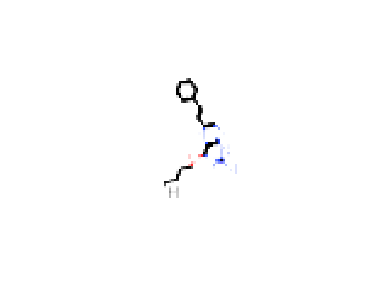 CCCCCOc1nc(N)nc2ncc(/C=C/c3ccccc3)nc12